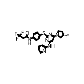 O=C(CC(F)(F)F)Nc1ccc(Sc2nc(Nc3ccccn3)cc(N3CC[C@H](F)C3)n2)cc1